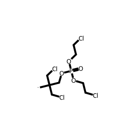 [CH2]C(CCl)(CCl)COP(=O)(OCCCl)OCCCl